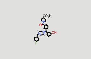 C[C@@H]1CN(C(c2cccc(O)c2)c2cccc(C(=O)N3CCC(C(=O)O)CC3)c2)[C@@H](C)CN1Cc1ccc(F)cc1